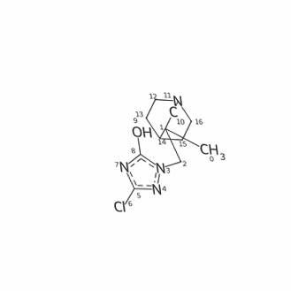 CC1(Cn2nc(Cl)nc2O)CN2CCC1CC2